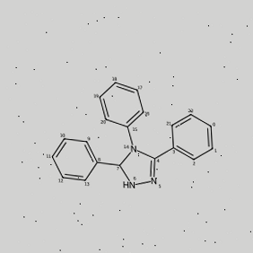 c1ccc(C2=NNC(c3ccccc3)N2c2ccccc2)cc1